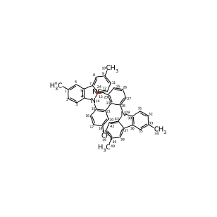 Cc1ccc2c(c1)c1cc(C)ccc1n2-c1ccc(C(F)(F)F)cc1-c1c(C#N)cccc1-n1c2ccc(C)cc2c2cc(C)ccc21